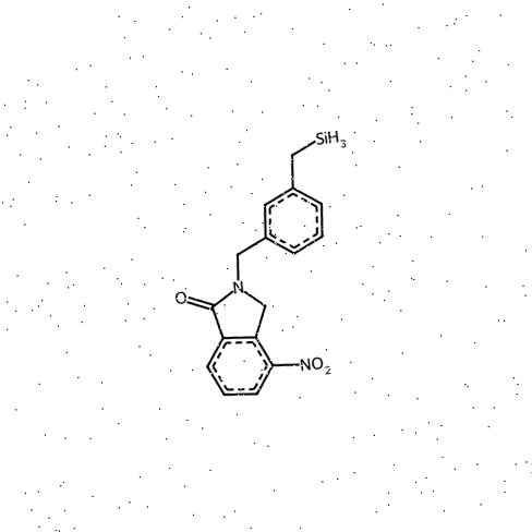 O=C1c2cccc([N+](=O)[O-])c2CN1Cc1cccc(C[SiH3])c1